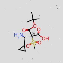 CC(C)(C)OC(=O)[C@](C(=O)O)(C(N)C1CC1)S(C)(=O)=O